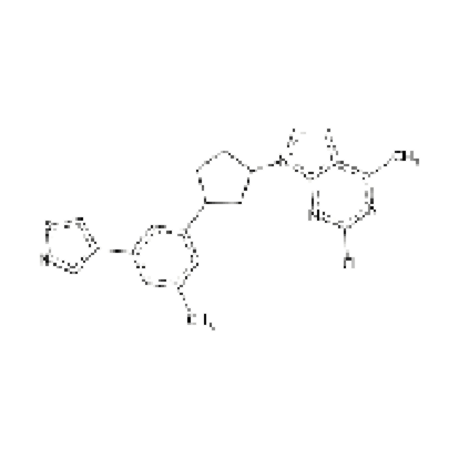 Cc1cc(-c2cnsc2)cc(C2CCC(n3ccc4c(C)nc(Cl)nc43)C2)c1